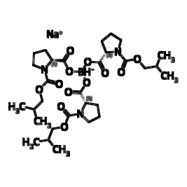 CC(C)COC(=O)N1CCC[C@H]1C(=O)O[BH-](OC(=O)[C@@H]1CCCN1C(=O)OCC(C)C)OC(=O)[C@@H]1CCCN1C(=O)OCC(C)C.[Na+]